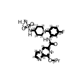 CC(C)Oc1nc(C(=O)Nc2cc(F)ccc2N2CCC(NS(N)(=O)=O)CC2)cn2ccnc12